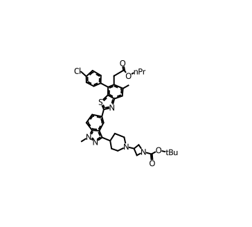 CCCOC(=O)Cc1c(C)cc2nc(-c3ccc4c(c3)c(C3CCN(C5CN(C(=O)OC(C)(C)C)C5)CC3)nn4C)sc2c1-c1ccc(Cl)cc1